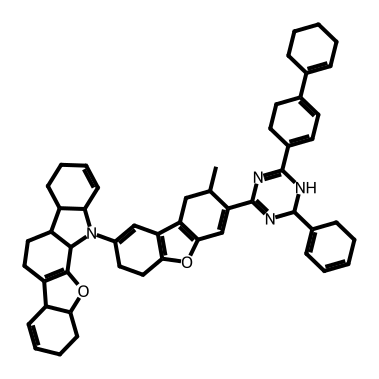 CC1Cc2c(oc3c2C=C(N2C4C=CCCC4C4CCC5=C(OC6CCC=CC56)C42)CC3)C=C1C1=NC(C2=CC=CCC2)NC(C2=CC=C(C3=CCCCC3)CC2)=N1